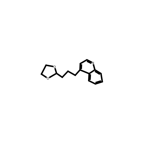 c1ccc2c(CCCC3OCCO3)ccnc2c1